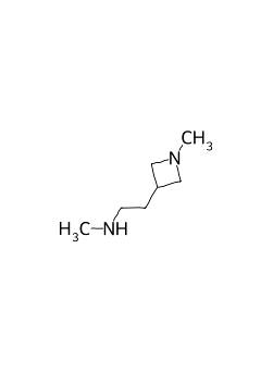 CNCCC1CN(C)C1